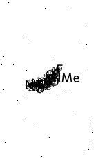 CNC(=O)c1c(-c2ccc(F)cc2)oc2ccc(-c3cc(C(=O)N(c4nc5cnccc5o4)C4CC4)ccc3C)c(F)c12